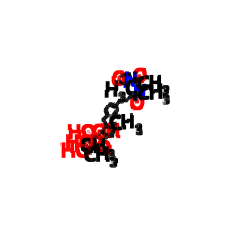 Cc1ccc([C@]23OC[C@](C(C)(C)O)(O2)[C@@H](O)[C@H](O)[C@H]3O)cc1Cc1ccc(CCCC(=O)N(C)C(C)(C)C(=O)N2CCOCC2)cc1